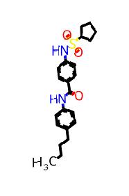 CCCCc1ccc(NC(=O)c2ccc(NS(=O)(=O)C3CCCC3)cc2)cc1